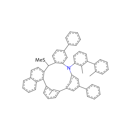 CSC1c2ccc(-c3ccccc3)cc2N(c2cccc(-c3ccccc3C)c2C)c2cc(-c3ccccc3)cc(c2)-c2cccc(c2C)-c2c1ccc1ccccc21